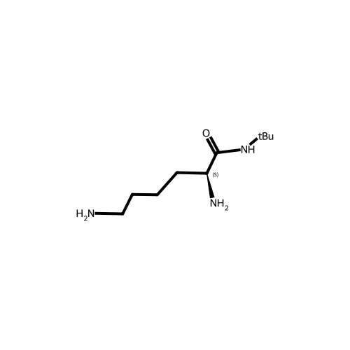 CC(C)(C)NC(=O)[C@@H](N)CCCCN